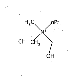 CCC[N+](C)(C)CO.[Cl-]